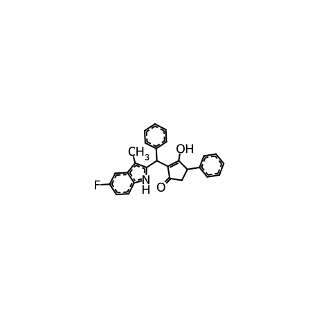 Cc1c(C(C2=C(O)C(c3ccccc3)CC2=O)c2ccccc2)[nH]c2ccc(F)cc12